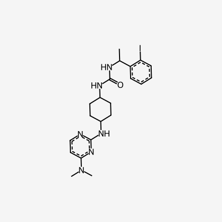 CC(NC(=O)NC1CCC(Nc2nccc(N(C)C)n2)CC1)c1ccccc1I